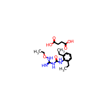 CCONC(=N)NC(=O)Nc1c(CC)cccc1CC.O=C(O)CCC(=O)O